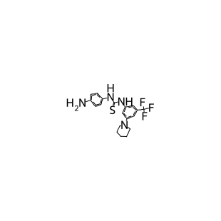 Nc1ccc(NC(=S)Nc2cc(N3CCCCC3)cc(C(F)(F)F)c2)cc1